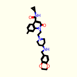 Cc1ccc2c(C(=O)NC3CC3)cc(=O)n(CCN3CCC(NCc4ccc5c(c4)OCCO5)CC3)c2c1